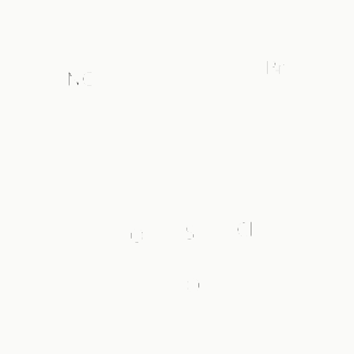 N#Cc1cc(Br)cc(S(=O)(=O)Cl)c1